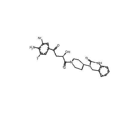 N#Cc1cc(C(=O)C[C@@H](O)C(=O)N2CCC(N3Cc4ccccc4NC3=O)CC2)cc(F)c1N